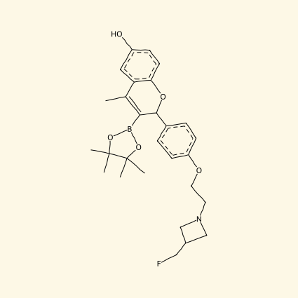 CC1=C(B2OC(C)(C)C(C)(C)O2)C(c2ccc(OCCN3CC(CF)C3)cc2)Oc2ccc(O)cc21